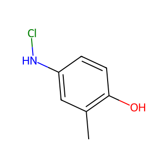 Cc1cc(NCl)ccc1O